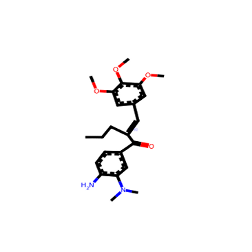 CCC/C(=C\c1cc(OC)c(OC)c(OC)c1)C(=O)c1ccc(N)c(N(C)C)c1